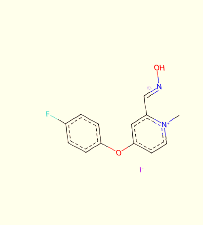 C[n+]1ccc(Oc2ccc(F)cc2)cc1/C=N/O.[I-]